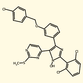 CSc1nccc(-c2c(-c3cccc(OCc4ccc(Cl)cc4)c3)nc(-c3c(Cl)cccc3Cl)n2O)n1